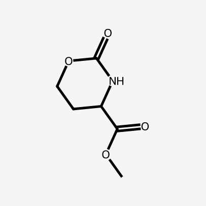 COC(=O)C1CCOC(=O)N1